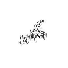 COC(=O)C(C)(CC(C)(C)SCCC(=O)OCC(COC(=O)C(C)(CC(C)(C)C)C(C)(C)C)OC(=O)/C=C\C(=O)O)C(C)(C)C